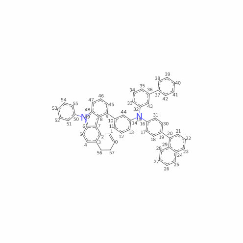 C1=Cc2c(ccc3c2c2c(-c4cccc(N(c5ccc(-c6cccc7ccccc67)cc5)c5cccc(-c6ccccc6)c5)c4)cccc2n3-c2ccccc2)CC1